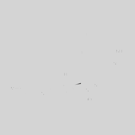 CO[C@H]1CCN([C@@H]2C[C@@H]3[C@H](C2)[C@@H]3c2cc(-c3cnc(N)c(OC(F)F)c3)nn2C(C)C)C1